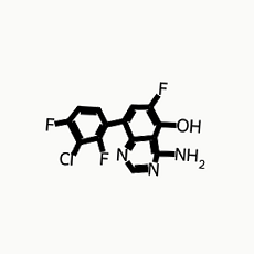 Nc1ncnc2c(-c3ccc(F)c(Cl)c3F)cc(F)c(O)c12